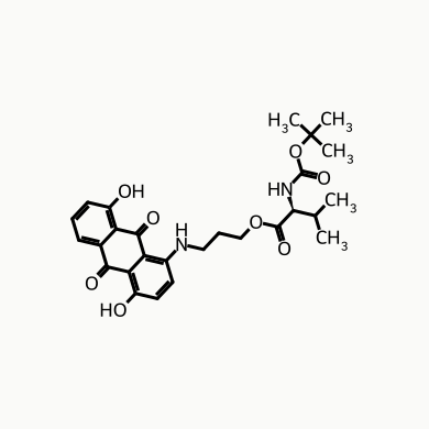 CC(C)[C@H](NC(=O)OC(C)(C)C)C(=O)OCCCNc1ccc(O)c2c1C(=O)c1c(O)cccc1C2=O